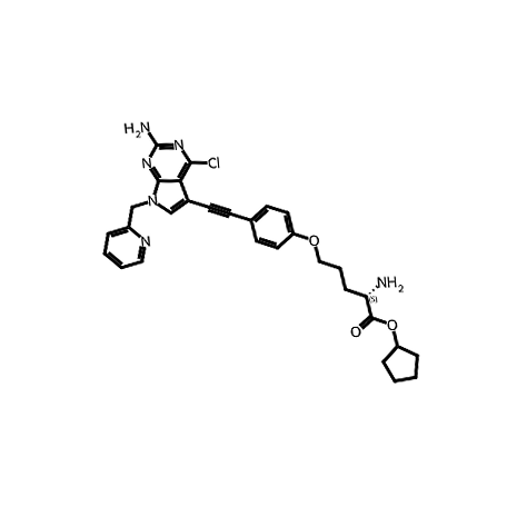 Nc1nc(Cl)c2c(C#Cc3ccc(OCCC[C@H](N)C(=O)OC4CCCC4)cc3)cn(Cc3ccccn3)c2n1